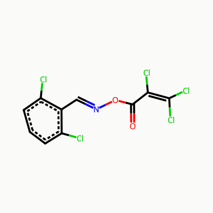 O=C(ON=Cc1c(Cl)cccc1Cl)C(Cl)=C(Cl)Cl